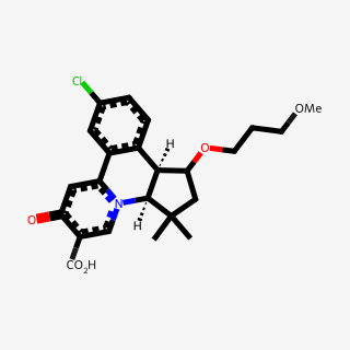 COCCCOC1CC(C)(C)[C@@H]2[C@H]1c1ccc(Cl)cc1-c1cc(=O)c(C(=O)O)cn12